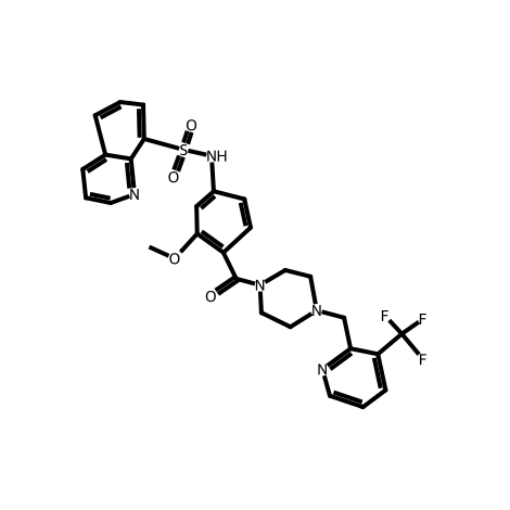 COc1cc(NS(=O)(=O)c2cccc3cccnc23)ccc1C(=O)N1CCN(Cc2ncccc2C(F)(F)F)CC1